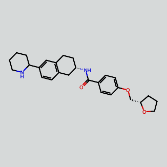 O=C(N[C@H]1CCc2cc(C3CCCCN3)ccc2C1)c1ccc(OC[C@@H]2CCCO2)cc1